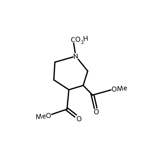 COC(=O)C1CCN(C(=O)O)CC1C(=O)OC